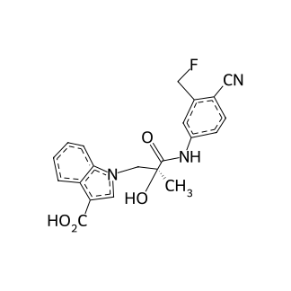 C[C@](O)(Cn1cc(C(=O)O)c2ccccc21)C(=O)Nc1ccc(C#N)c(CF)c1